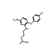 CC(O)OCCNc1nc(N)ncc1Oc1ccc(Cl)cc1